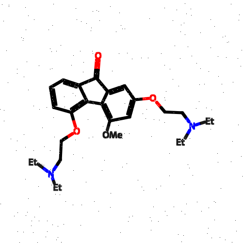 CCN(CC)CCOc1cc(OC)c2c(c1)C(=O)c1cccc(OCCN(CC)CC)c1-2